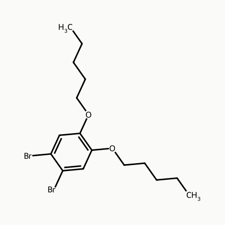 CCCCCOc1cc(Br)c(Br)cc1OCCCCC